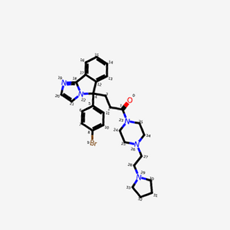 O=C(CCC1(c2ccc(Br)cc2)c2ccccc2-c2nccn21)N1CCN(CCN2CCCC2)CC1